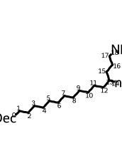 CCCCCCCCCCCCCCCCCCCCCCC(CCC)CCCN